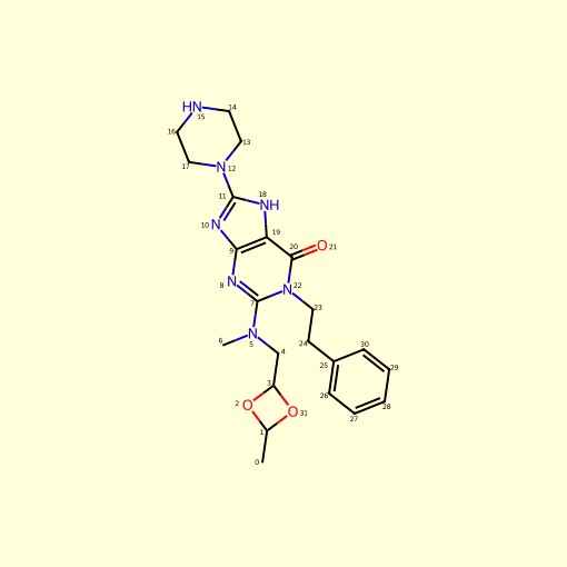 CC1OC(CN(C)c2nc3nc(N4CCNCC4)[nH]c3c(=O)n2CCc2ccccc2)O1